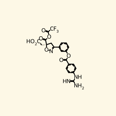 N=C(N)Nc1ccc(C(=O)Oc2cccc(C3=NO[C@@](CC(=O)O)(C(=O)OC(=O)C(F)(F)F)C3)c2)cc1